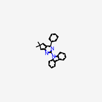 CC1(C)C=c2nc(-n3c4ccccc4c4ccccc43)nc(-c3ccccc3)c2=C1